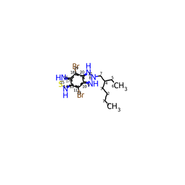 CCCCC(CC)Cn1[nH]c2c(Br)c3[nH]s[nH]c3c(Br)c2[nH]1